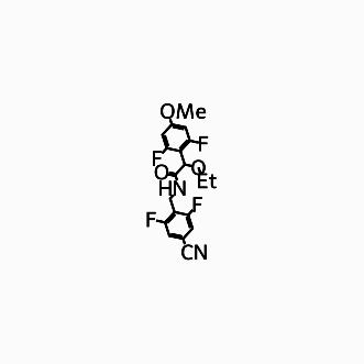 CCOC(C(=O)NCc1c(F)cc(C#N)cc1F)c1c(F)cc(OC)cc1F